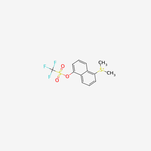 C[S+](C)c1cccc2c(OS(=O)(=O)C(F)(F)F)cccc12